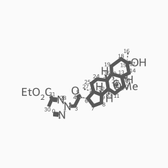 C=NN(CC(=O)[C@H]1CC[C@H]2[C@@H]3CC[C@H]4C[C@](C)(O)CC[C@]4(COC)[C@H]3CC[C@]12C)/N=C(\C)C(=O)OCC